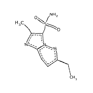 CCc1ccc2nc(C)c(S(N)(=O)=O)n2n1